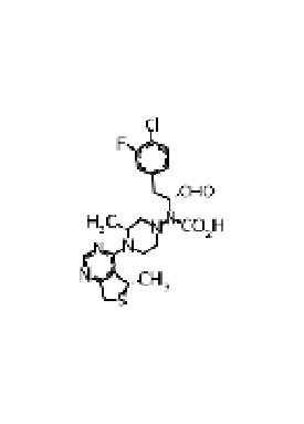 C[C@@H]1SCc2ncnc(N3CCN(N(C(=O)O)[C@@H](C=O)Cc4ccc(Cl)c(F)c4)C[C@@H]3C)c21